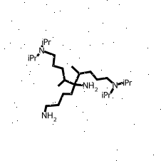 CC(C)N(CCCC(C)C(N)(CCCCN)C(C)CCCN(C(C)C)C(C)C)C(C)C